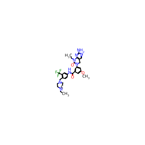 CCN1CCN(Cc2ccc(NC(=O)c3cc(OC)cc(N4Cc5cnc(N)nc5N(CC)C4=O)c3)cc2C(F)(F)F)CC1